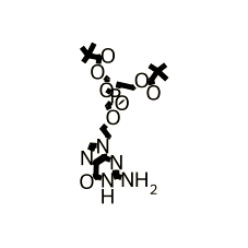 CC(C)(C)C(=O)OCCP(=O)(COCCn1cnc2c(=O)[nH]c(N)nc21)OCOC(=O)C(C)(C)C